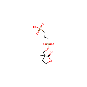 CC1(COS(=O)(=O)CCCS(=O)(=O)O)CCOC1=O